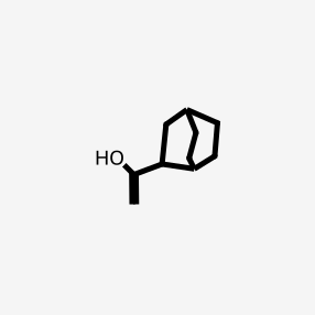 C=C(O)C1CC2CCC1CC2